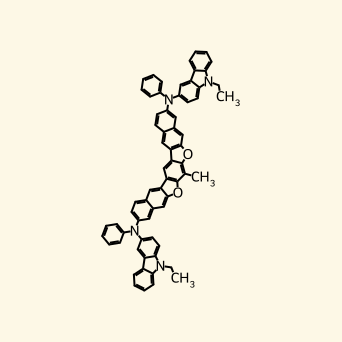 CCn1c2ccccc2c2cc(N(c3ccccc3)c3ccc4cc5c(cc4c3)oc3c(C)c4oc6cc7cc(N(c8ccccc8)c8ccc9c(c8)c8ccccc8n9CC)ccc7cc6c4cc35)ccc21